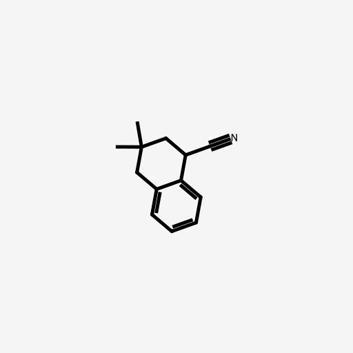 CC1(C)Cc2ccccc2C(C#N)C1